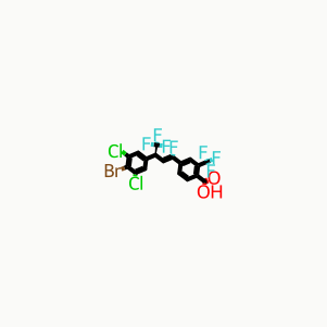 O=C(O)c1ccc(/C(F)=C/[C@@H](c2cc(Cl)c(Br)c(Cl)c2)C(F)(F)F)cc1C(F)(F)F